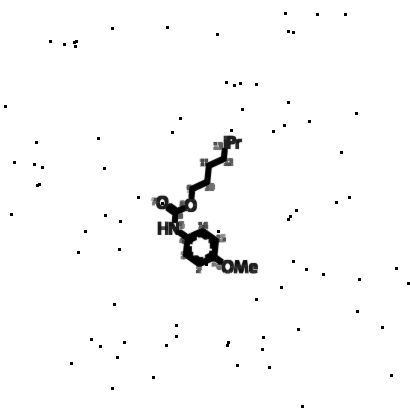 COc1ccc(NC(=O)OCCCCC(C)C)cc1